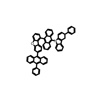 C1=CC(c2ccccc2)Cc2c1n(-c1c3ccccc3c(-c3cccc4oc5cc(-c6c7ccccc7c(-c7ccccc7)c7ccccc67)ccc5c34)c3ccccc13)c1ccccc21